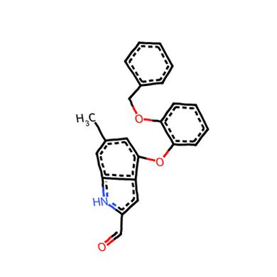 Cc1cc(Oc2ccccc2OCc2ccccc2)c2cc(C=O)[nH]c2c1